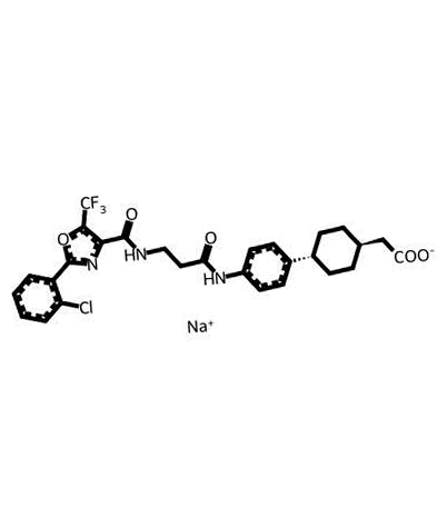 O=C([O-])C[C@H]1CC[C@H](c2ccc(NC(=O)CCNC(=O)c3nc(-c4ccccc4Cl)oc3C(F)(F)F)cc2)CC1.[Na+]